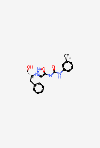 O=C([N-]c1c[n+]([C@@H](CO)Cc2ccccc2)no1)Nc1cccc(C(F)(F)F)c1